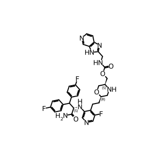 NC(=O)[C@@H](Nc1cncc(F)c1CC[C@@H]1CN[C@H](COC(=O)NCc2nc3ccncc3[nH]2)CO1)C(c1ccc(F)cc1)c1ccc(F)cc1